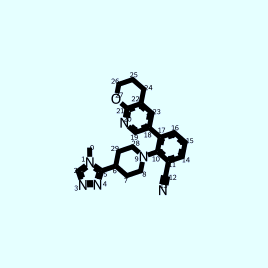 Cn1cnnc1C1CCN(c2c(C#N)cccc2-c2cnc3c(c2)CCCO3)CC1